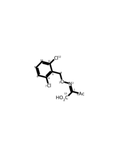 CC(=O)/C(=N/OCc1c(Cl)cccc1Cl)C(=O)O